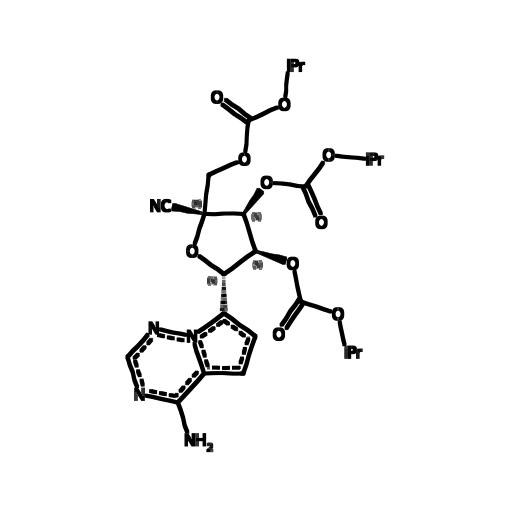 CC(C)OC(=O)OC[C@@]1(C#N)O[C@@H](c2ccc3c(N)ncnn23)[C@H](OC(=O)OC(C)C)[C@@H]1OC(=O)OC(C)C